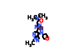 CCn1ncc2c(NC3CCOCC3)c(-c3nc(CC(=O)N(C)C)no3)cnc21